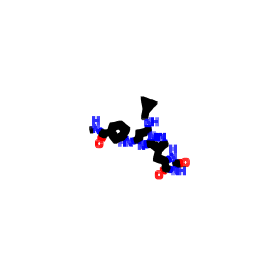 CNC(=O)c1cccc(Nc2cc(NCC3CC3)n3ncc(/C=C4\NC(=O)NC4=O)c3n2)c1